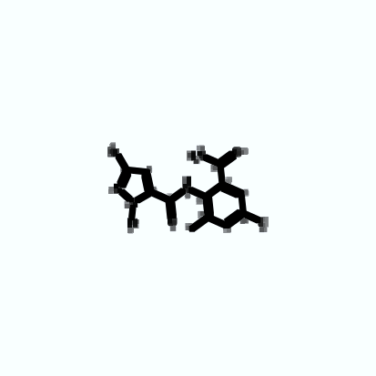 CCn1nc(Br)cc1C(=O)Nc1c(C)cc(Cl)cc1C(N)=O